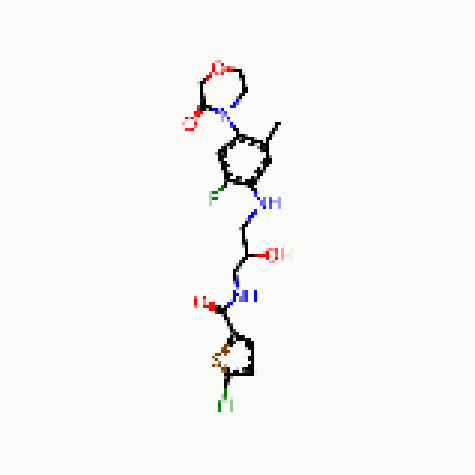 Cc1cc(NC[C@@H](O)CNC(=O)c2ccc(Cl)s2)c(F)cc1N1CCOCC1=O